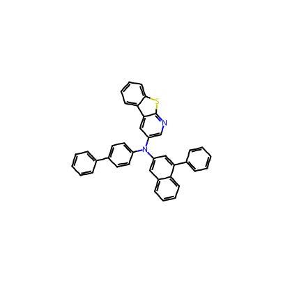 c1ccc(-c2ccc(N(c3cc(-c4ccccc4)c4ccccc4c3)c3cnc4sc5ccccc5c4c3)cc2)cc1